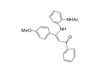 COc1ccc(C(=CC(=O)c2ccccc2)Nc2ccccc2NC(C)=O)cc1